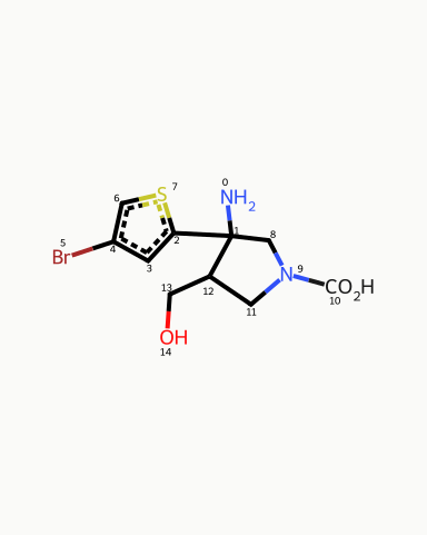 NC1(c2cc(Br)cs2)CN(C(=O)O)CC1CO